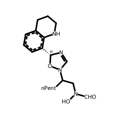 CCCCCC(CN(O)C=O)N1C=N[C@@H](c2cccc3c2NCCC3)O1